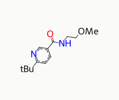 COCCNC(=O)c1ccc(C(C)(C)C)nc1